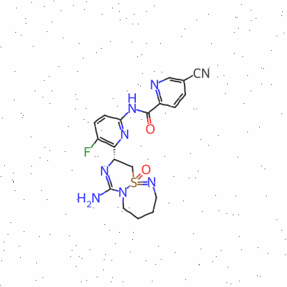 N#Cc1ccc(C(=O)Nc2ccc(F)c([C@@H]3CS4(=O)=NCCCCN4C(N)=N3)n2)nc1